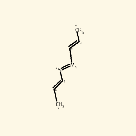 CC=CN=NC=CC